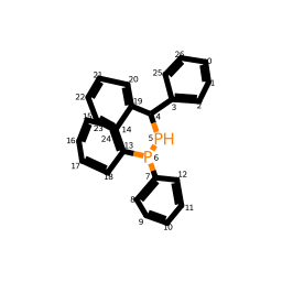 c1ccc(C(PP(c2ccccc2)c2ccccc2)c2ccccc2)cc1